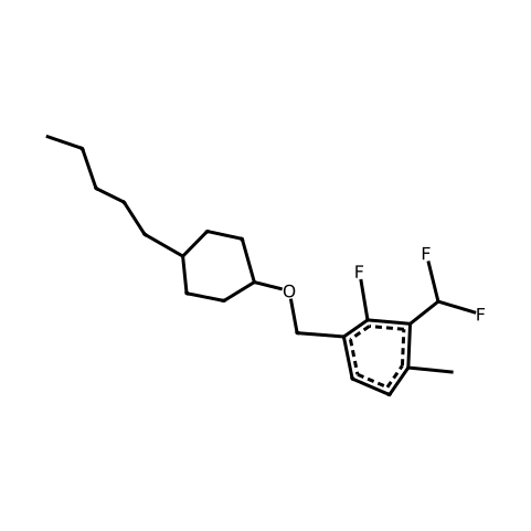 CCCCCC1CCC(OCc2ccc(C)c(C(F)F)c2F)CC1